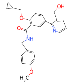 COc1ccc(CNC(=O)c2cc(-c3ncccc3CO)ccc2OCC2CC2)cc1